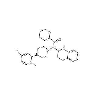 Cc1ccc(F)cc1N1CCN(C(C(=O)C2CCCCC2)C2CCc3ccccc3N2)CC1